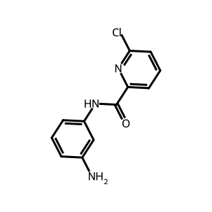 Nc1cccc(NC(=O)c2cccc(Cl)n2)c1